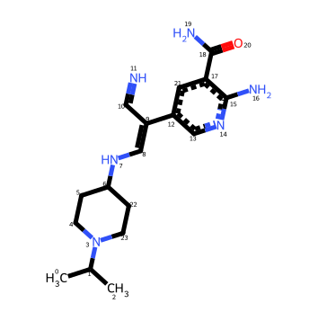 CC(C)N1CCC(N/C=C(\C=N)c2cnc(N)c(C(N)=O)c2)CC1